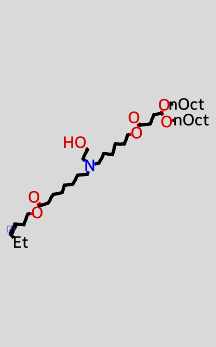 CC/C=C\CCOC(=O)CCCCCCCN(CCO)CCCCCCOC(=O)CCC(OCCCCCCCC)OCCCCCCCC